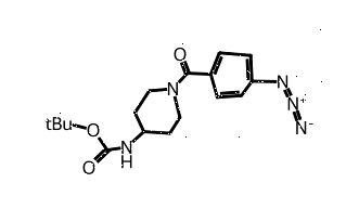 CC(C)(C)OC(=O)NC1CCN(C(=O)c2ccc(N=[N+]=[N-])cc2)CC1